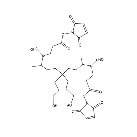 CC(CCC(CCCO)(CCCO)CCC(C)N(C=O)CCC(=O)ON1C(=O)C=CC1=O)N(C=O)CCC(=O)ON1C(=O)C=CC1=O